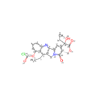 CCc1c2c(nc3cccc(OC(=O)Cl)c13)-c1cc3c(c(=O)n1C2)COC(=O)C3(O)CC